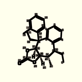 CC[C@@H]1c2ccccc2[C@@](CC)(c2ccccc2C)[C@@H]2OC(=O)O[C@@H]2[C@H]1C